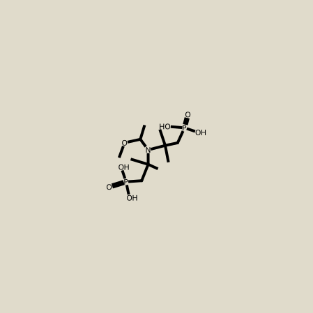 COC(C)N(C(C)(C)CP(=O)(O)O)C(C)(C)CP(=O)(O)O